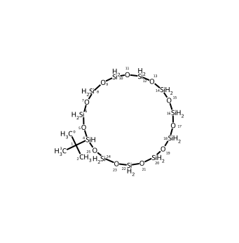 CC(C)(C)[SiH]1O[SiH2]O[SiH2]O[SiH2]O[SiH2]O[SiH2]O[SiH2]O[SiH2]O[SiH2]O[SiH2]O[SiH2]O1